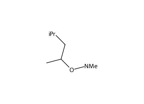 CNOC(C)CC(C)C